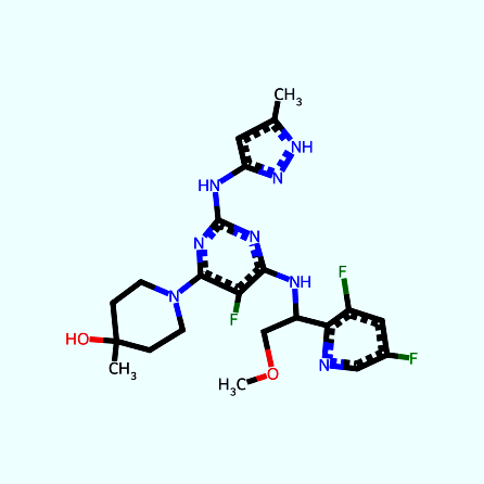 COCC(Nc1nc(Nc2cc(C)[nH]n2)nc(N2CCC(C)(O)CC2)c1F)c1ncc(F)cc1F